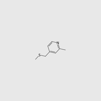 CSCc1ccnc(C)c1